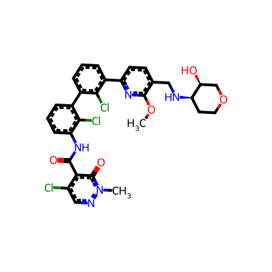 COc1nc(-c2cccc(-c3cccc(NC(=O)c4c(Cl)cnn(C)c4=O)c3Cl)c2Cl)ccc1CN[C@@H]1CCOC[C@@H]1O